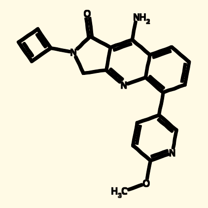 COc1ccc(-c2cccc3c(N)c4c(nc23)CN(C2=CC=C2)C4=O)cn1